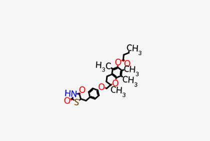 CCCC(=O)Oc1c(C)c(C)c2c(c1C)CCC(C)(COc1ccc(CC3SC(=O)NC3=O)cc1)O2